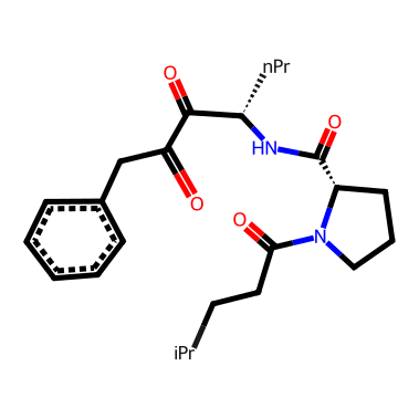 CCC[C@H](NC(=O)[C@@H]1CCCN1C(=O)CCC(C)C)C(=O)C(=O)Cc1ccccc1